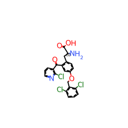 N[C@@H](Cc1ccc(OCc2c(Cl)cccc2Cl)cc1C(=O)c1cccnc1Cl)C(=O)O